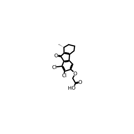 C[C@@H]1CCCC2=C1C(=O)c1c2cc(OCC(=O)O)c(Cl)c1Cl